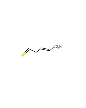 O=C(O)C=CCC=S